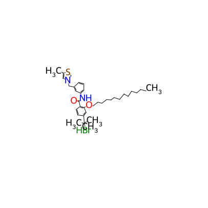 Br.CCCCCCCCCCCCCCOc1cc(C(C)(C)C)ccc1C(=O)Nc1cccc(CN2C=C(C)SC2)c1